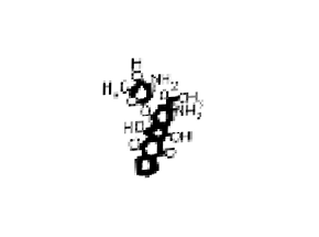 CC(=O)[C@]1(N)Cc2c(O)c3c(c(O)c2[C@@H](OC2C[C@H](N)[C@H](O)[C@H](C)O2)C1)C(=O)c1ccccc1C3=O